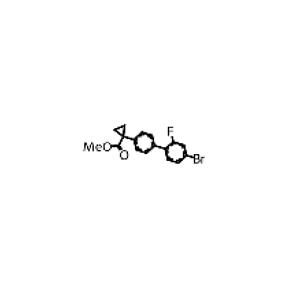 COC(=O)C1(c2ccc(-c3ccc(Br)cc3F)cc2)CC1